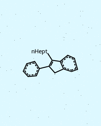 CCCCCCCC1=C(c2ccccc2)[CH]c2ccccc21